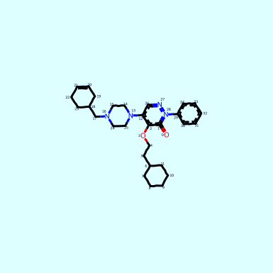 O=c1c(OCCC2CCCCC2)c(N2CCN(CC3CC=CCC3)CC2)cnn1-c1ccccc1